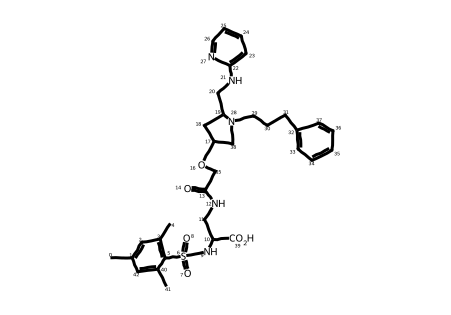 Cc1cc(C)c(S(=O)(=O)NC(CNC(=O)COC2CC(CNc3ccccn3)N(CCCc3ccccc3)C2)C(=O)O)c(C)c1